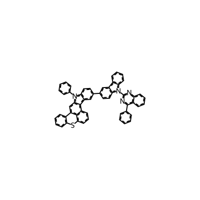 c1ccc(-c2nc(-n3c4ccccc4c4cc(-c5ccc6c(c5)c5c7cccc8c7c(cc5n6-c5ccccc5)-c5ccccc5S8)ccc43)nc3ccccc23)cc1